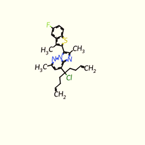 C=CCCC(Cl)(CCC=C)c1cc(C)nn2c(-c3sc4ccc(F)cc4c3C)c(C)nc12